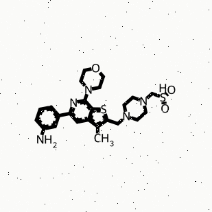 Cc1c(CN2CCN(C[SH](=O)=O)CC2)sc2c(N3CCOCC3)nc(-c3cccc(N)c3)cc12